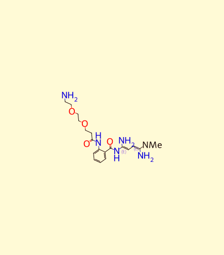 CN/C(N)=C/C=C(\N)NC(=O)c1ccccc1NC(=O)CCOCCOCCN